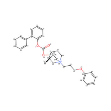 O=C(Oc1ccccc1-c1ccccc1)O[C@H]1C[N+]2(CCCOc3ccccc3)CCC1CC2